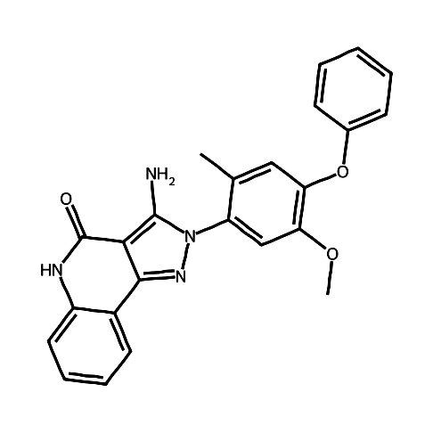 COc1cc(-n2nc3c(c2N)c(=O)[nH]c2ccccc23)c(C)cc1Oc1ccccc1